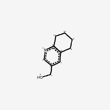 OCc1cnc2c(c1)CCCC2